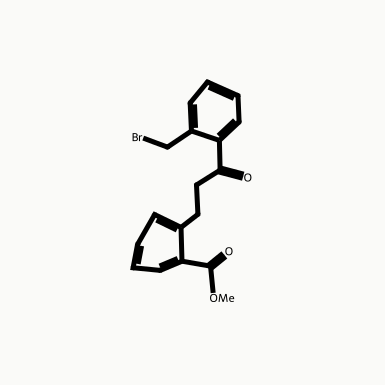 COC(=O)c1ccccc1CCC(=O)c1ccccc1CBr